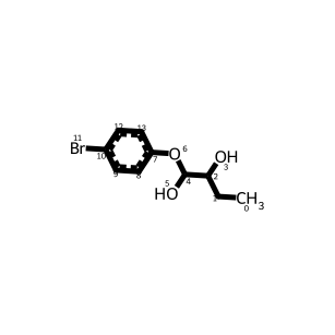 CCC(O)C(O)Oc1ccc(Br)cc1